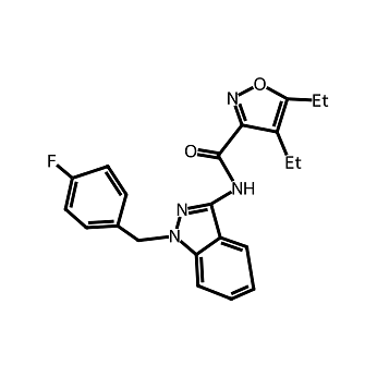 CCc1onc(C(=O)Nc2nn(Cc3ccc(F)cc3)c3ccccc23)c1CC